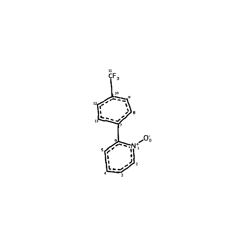 [O-][n+]1ccccc1-c1ccc(C(F)(F)F)cc1